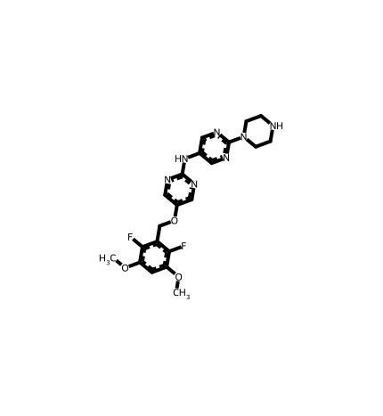 COc1cc(OC)c(F)c(COc2cnc(Nc3cnc(N4CCNCC4)nc3)nc2)c1F